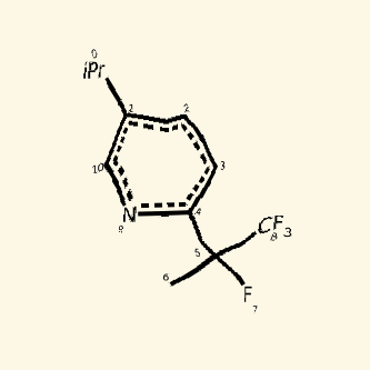 CC(C)c1ccc(C(C)(F)C(F)(F)F)nc1